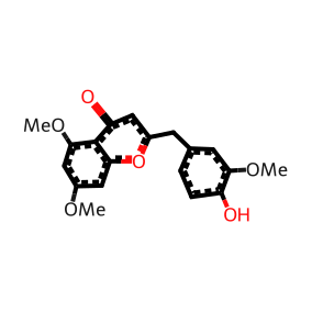 COc1cc(OC)c2c(=O)cc(Cc3ccc(O)c(OC)c3)oc2c1